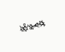 Cn1cnc2ncn(Cc3nc(C4C5CN(c6cc(F)ccn6)CC54)no3)c(=O)c21